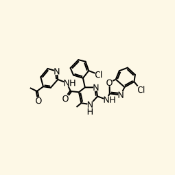 CC(=O)c1ccnc(NC(=O)C2=C(C)NC(Nc3nc4c(Cl)cccc4o3)=NC2c2ccccc2Cl)c1